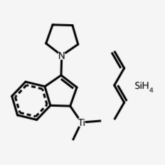 C=CC=CC.[CH3][Ti]([CH3])[CH]1C=C(N2CCCC2)c2ccccc21.[SiH4]